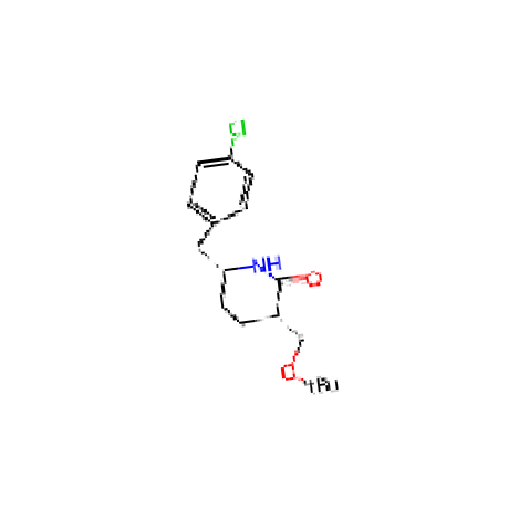 CC(C)(C)OC[C@@H]1CC[C@H](Cc2ccc(Cl)cc2)NC1=O